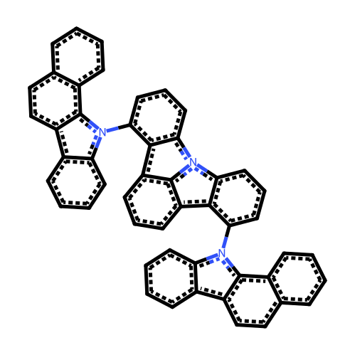 c1ccc2c(c1)ccc1c3ccccc3n(-c3cccc4c3c3cccc5c6c(-n7c8ccccc8c8ccc9ccccc9c87)cccc6n4c35)c21